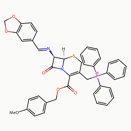 COc1ccc(COC(=O)C2=C(C[PH](c3ccccc3)(c3ccccc3)c3ccccc3)CS[C@@H]3[C@H](/N=C/c4ccc5c(c4)OCO5)C(=O)N23)cc1